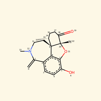 C=C1c2ccc(O)c3c2[C@]2(CCN1C)[C@H](C)CCC(=O)[C@@H]2O3